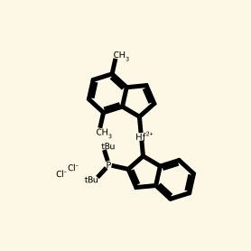 Cc1ccc(C)c2c1C=C[CH]2[Hf+2][CH]1C(P(C(C)(C)C)C(C)(C)C)=Cc2ccccc21.[Cl-].[Cl-]